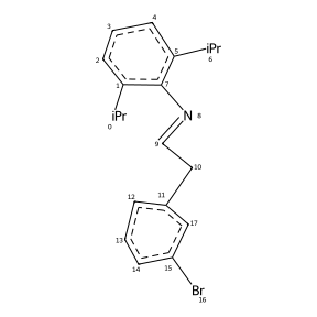 CC(C)c1cccc(C(C)C)c1N=CCc1cccc(Br)c1